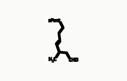 CCCCCCCC=CC(C)CC=O